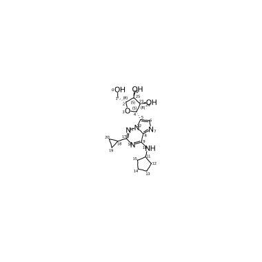 OC[C@H]1O[C@@H](c2cnc3c(NC4CCCC4)nc(C4CC4)nn23)[C@H](O)[C@@H]1O